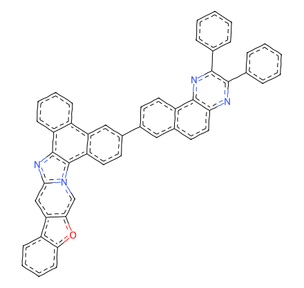 c1ccc(-c2nc3ccc4cc(-c5ccc6c(c5)c5ccccc5c5nc7cc8c(cn7c65)oc5ccccc58)ccc4c3nc2-c2ccccc2)cc1